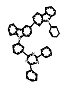 C1=CC(n2c3ccccc3c3ccc(-c4ccc5c(c4)c4ccccc4n5-c4cccc(-c5nc(-c6ccccc6)nc(-c6ccccc6)n5)c4)cc32)=CCC1